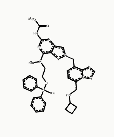 CCCCN(CCO[Si](c1ccccc1)(c1ccccc1)C(C)(C)C)c1nc(NC(=O)OC)nc2cn(Cc3ccc(CNC4CCC4)n4ncnc34)nc12